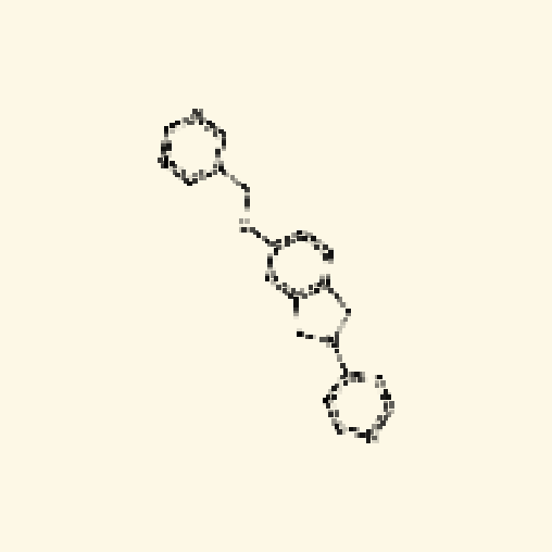 c1cc(N2Cc3ccc(OCc4cncnc4)cc3C2)ccn1